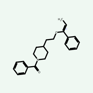 C/C=C(\OCCC1CCN(C(=O)c2ccccc2)CC1)c1ccccc1